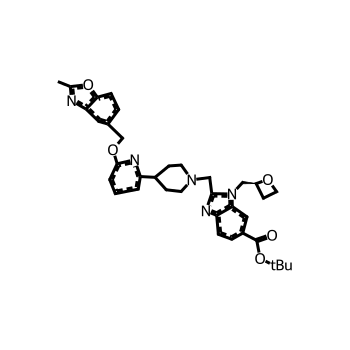 Cc1nc2cc(COc3cccc(C4CCN(Cc5nc6ccc(C(=O)OC(C)(C)C)cc6n5C[C@@H]5CCO5)CC4)n3)ccc2o1